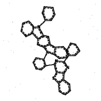 c1ccc(-c2nc(-c3ccccc3-n3c4ccccc4c4cc5c(cc43)c3ccccc3n5-c3ccccc3)c3sc4ccccc4c3n2)cc1